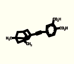 CC12CC3CC(C)(C1)CC(C#Cc1ccc(C(=O)O)c(C(=O)O)c1)(C3)C2